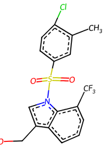 Cc1cc(S(=O)(=O)n2cc(CO)c3cccc(C(F)(F)F)c32)ccc1Cl